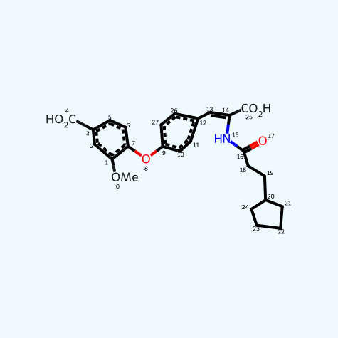 COc1cc(C(=O)O)ccc1Oc1ccc(C=C(NC(=O)CCC2CCCC2)C(=O)O)cc1